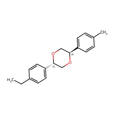 CCc1ccc([C@H]2CO[C@H](c3ccc(C)cc3)CO2)cc1